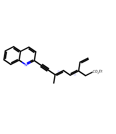 C=C/C(=C\C=C(/C)C#Cc1ccc2ccccc2n1)CC(=O)OCC